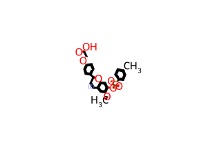 COc1cc(/C=C\C(=O)c2ccc(OCC(=O)O)cc2)ccc1OS(=O)(=O)c1ccc(C)cc1